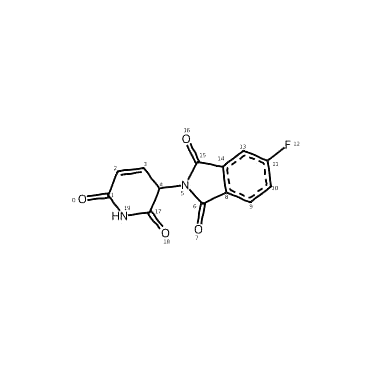 O=C1C=CC(N2C(=O)c3ccc(F)cc3C2=O)C(=O)N1